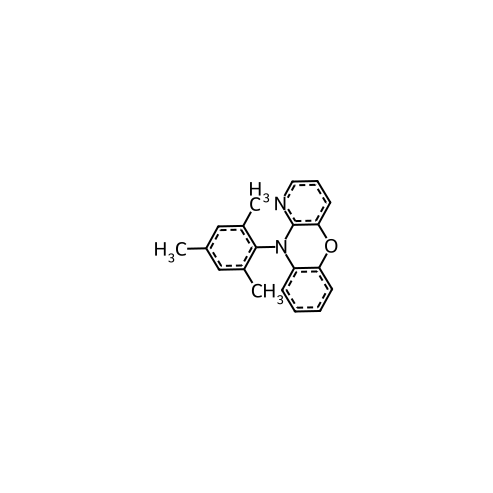 Cc1cc(C)c(N2c3ccccc3Oc3cccnc32)c(C)c1